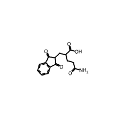 NC(=O)CCC(CC1C(=O)c2ccccc2C1=O)C(=O)O